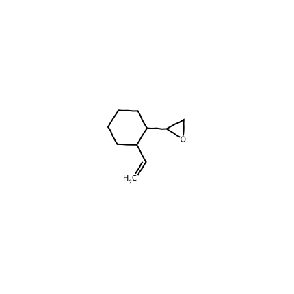 C=CC1CCCCC1C1CO1